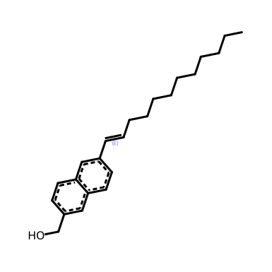 CCCCCCCCCC/C=C/c1ccc2cc(CO)ccc2c1